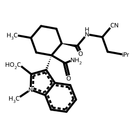 CC(C)CC(C#N)NC(=O)[C@@H]1CCC(C)C[C@@]1(C(N)=O)c1c(C(=O)O)n(C)c2ccccc12